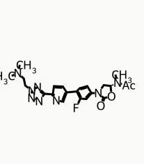 CC(=O)N(C)[C@H]1CN(c2ccc(-c3ccc(-c4nnn(CCN(C)C)n4)nc3)c(F)c2)C(=O)O1